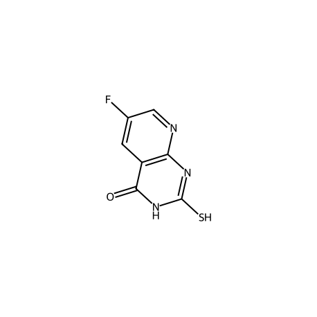 O=c1[nH]c(S)nc2ncc(F)cc12